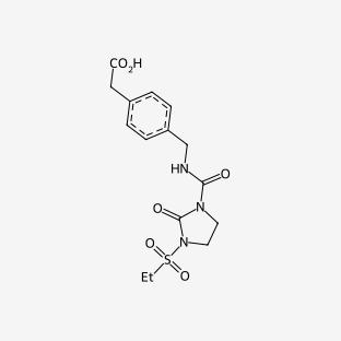 CCS(=O)(=O)N1CCN(C(=O)NCc2ccc(CC(=O)O)cc2)C1=O